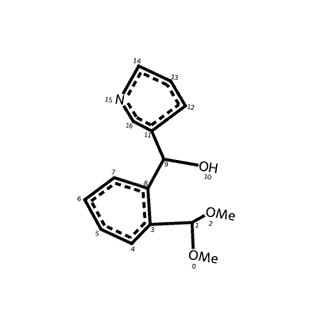 COC(OC)c1ccccc1C(O)c1cccnc1